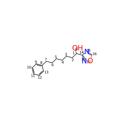 OC(CCCCCCc1ccccc1)c1ncon1